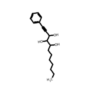 CCCCCCCC(O)C(O)C(O)C#Cc1ccccc1